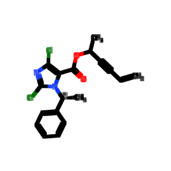 C=CC#CC(C)OC(=O)c1c(Cl)nc(Cl)n1[C@H](C)c1ccccc1